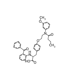 CCCC(=O)N(CCOc1ccc(CC(Nc2ccccc2C(=O)c2ccccc2)C(=O)O)cc1)c1cccc(OC)c1